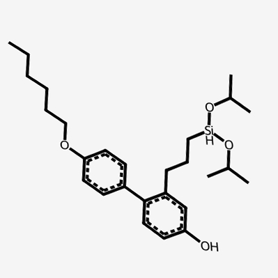 CCCCCCOc1ccc(-c2ccc(O)cc2CCC[SiH](OC(C)C)OC(C)C)cc1